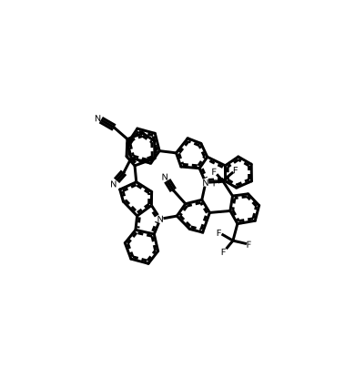 N#Cc1cccc(-c2ccc3c4ccccc4n(-c4ccc(-c5c(C(F)(F)F)cccc5C(F)(F)F)c(-n5c6ccccc6c6ccc(-c7cccc(C#N)c7)cc65)c4C#N)c3c2)c1